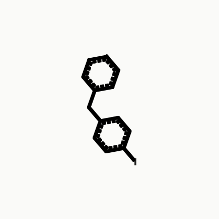 Ic1ccc(Cc2cc[c]cc2)cc1